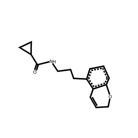 O=C(NCCCc1cccc2c1C=CCO2)C1CC1